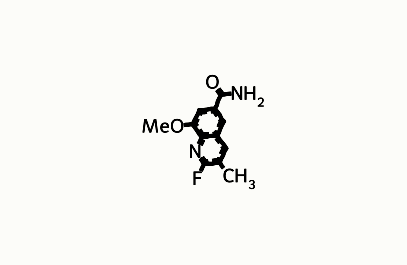 COc1cc(C(N)=O)cc2cc(C)c(F)nc12